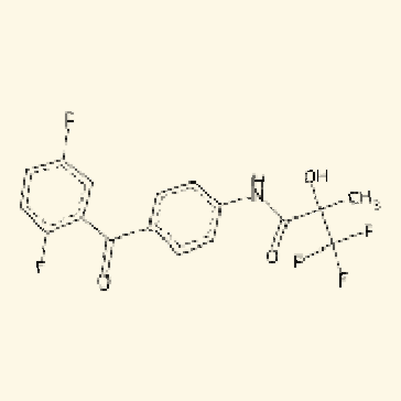 CC(O)(C(=O)Nc1ccc(C(=O)c2cc(F)ccc2F)cc1)C(F)(F)F